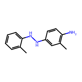 Cc1cc(NNc2ccccc2C)ccc1N